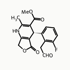 COC(=O)C1=C(C)NC2=C(C(=O)OC2)[C@H]1c1cccc(F)c1CC=O